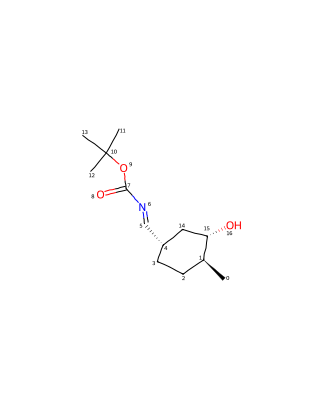 C[C@H]1CC[C@H](/C=N/C(=O)OC(C)(C)C)C[C@@H]1O